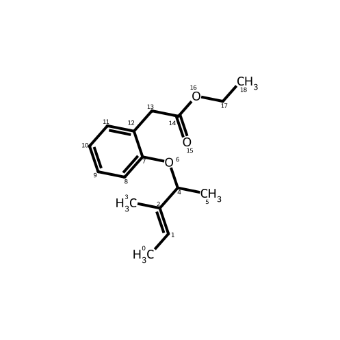 C/C=C(\C)C(C)Oc1ccccc1CC(=O)OCC